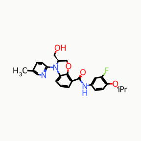 Cc1ccc(N2c3cccc(C(=O)Nc4ccc(OC(C)C)c(F)c4)c3OC[C@@H]2CO)nc1